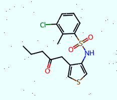 CCCC(=O)Cc1cscc1NS(=O)(=O)c1cccc(Cl)c1C